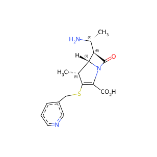 C[C@@H](N)[C@H]1C(=O)N2C(C(=O)O)=C(SCc3cccnc3)[C@H](C)[C@H]12